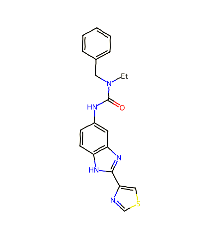 CCN(Cc1ccccc1)C(=O)Nc1ccc2[nH]c(-c3cscn3)nc2c1